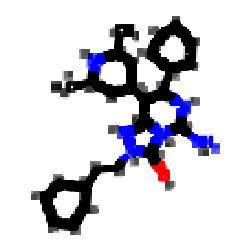 Cc1cc(-c2c(-c3ccccc3)nc(N)n3c(=O)n(CCc4ccccc4)nc23)cc(C)n1